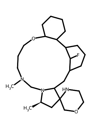 C[C@@H]1CC2(COCCN2)C2CC3CCCC(C3F)C3CCCCC3OCCCN(C)CN21